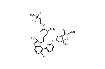 Cc1nc2ccc(Cl)c(-c3cccc(N[C@@H]4CN(C(=O)OC(C)(C)C)[C@](C(=O)O)(C(C)(C)C)C4)n3)c2n1CCCN(C)C(=O)OCC[Si](C)(C)C